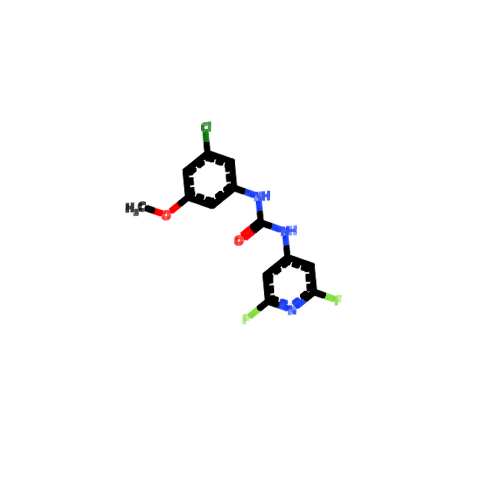 COc1cc(Cl)cc(NC(=O)Nc2cc(F)nc(F)c2)c1